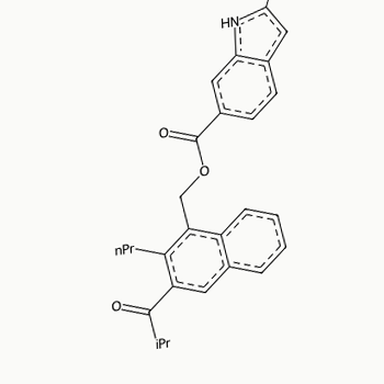 CCCc1c(C(=O)C(C)C)cc2ccccc2c1COC(=O)c1ccc2cc(C)[nH]c2c1